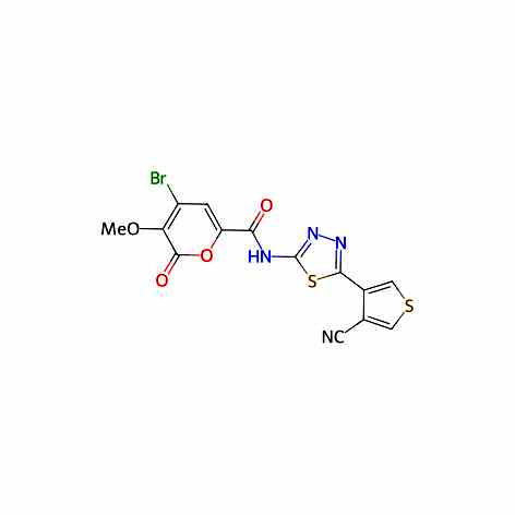 COc1c(Br)cc(C(=O)Nc2nnc(-c3cscc3C#N)s2)oc1=O